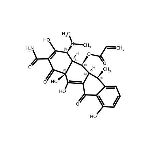 C=CC(=O)O[C@H]1[C@@H]2C(=C(O)[C@]3(O)C(=O)C(C(N)=O)=C(O)[C@@H](N(C)C)[C@@H]13)C(=O)c1c(O)cccc1[C@@H]2C